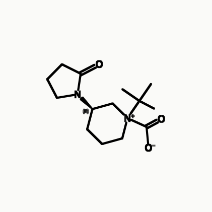 CC(C)(C)[N+]1(C(=O)[O-])CCC[C@@H](N2CCCC2=O)C1